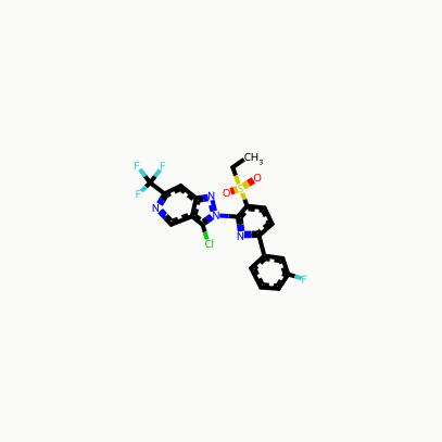 CCS(=O)(=O)c1ccc(-c2cccc(F)c2)nc1-n1nc2cc(C(F)(F)F)ncc2c1Cl